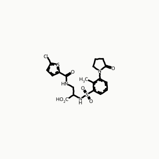 Cc1c(N2CCCC2=O)cccc1S(=O)(=O)NC(CNC(=O)c1ccc(Cl)s1)C(=O)O